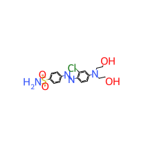 NS(=O)(=O)c1ccc(N=Nc2ccc(N(CCO)CCO)cc2Cl)cc1